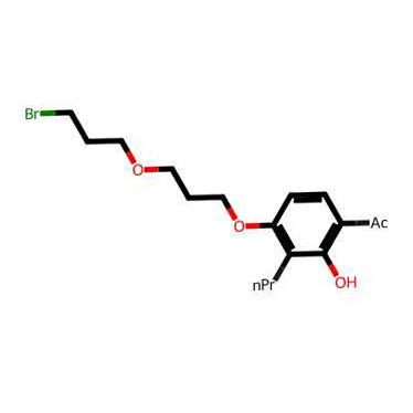 CCCc1c(OCCCOCCCBr)ccc(C(C)=O)c1O